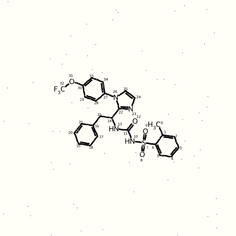 Cc1ccccc1S(=O)(=O)NC(=O)NC(Cc1ccccc1)c1nccn1-c1ccc(OC(F)(F)F)cc1